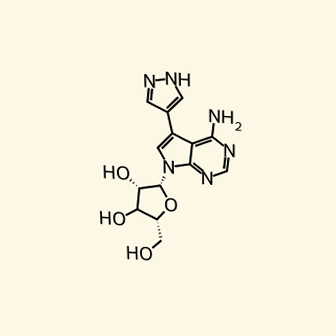 Nc1ncnc2c1c(-c1cn[nH]c1)cn2[C@@H]1O[C@H](CO)C(O)[C@@H]1O